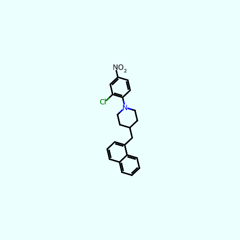 O=[N+]([O-])c1ccc(N2CCC(Cc3cccc4ccccc34)CC2)c(Cl)c1